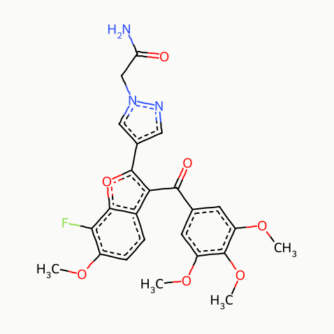 COc1cc(C(=O)c2c(-c3cnn(CC(N)=O)c3)oc3c(F)c(OC)ccc23)cc(OC)c1OC